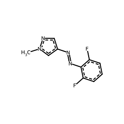 Cn1cc(N=Nc2c(F)cccc2F)cn1